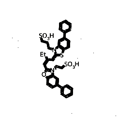 CCC(=Cc1oc2ccc(-c3ccccc3)cc2[n+]1CCS(=O)(=O)O)C=C1Sc2ccc(-c3ccccc3)cc2N1CCCS(=O)(=O)O